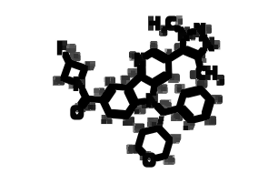 Cc1nnn(C)c1-c1cnc2c3cc(C(=O)N4CC(F)C4)ccc3n([C@H](c3ccccc3)C3CCOCC3)c2c1